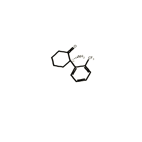 N[C@]1(c2ccccc2C(F)(F)F)CCCCC1=O